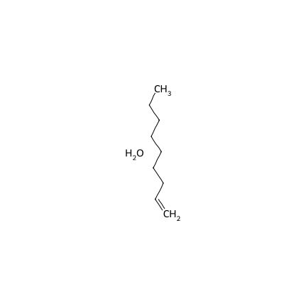 C=CCCCCCCC.O